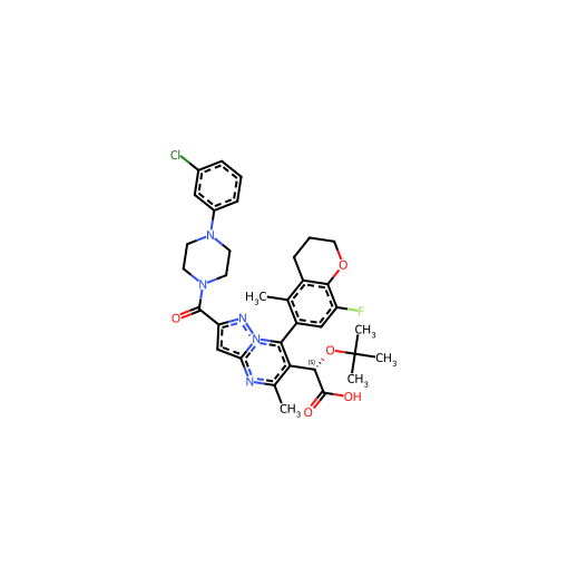 Cc1nc2cc(C(=O)N3CCN(c4cccc(Cl)c4)CC3)nn2c(-c2cc(F)c3c(c2C)CCCO3)c1[C@H](OC(C)(C)C)C(=O)O